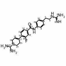 N=C(N)NCCc1ccc(NC(=O)c2ccc(C3=CCN(C(N)N)CC3)c(F)c2)cc1